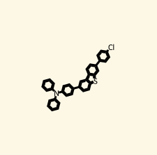 Clc1ccc(-c2ccc3c(c2)sc2ccc(-c4ccc(N(c5ccccc5)c5ccccc5)cc4)cc23)cc1